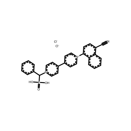 N#Cc1ccc(-[n+]2ccc(-c3cc[n+](C(c4ccccc4)P(=O)(O)O)cc3)cc2)c2ccccc12.[Cl-].[Cl-]